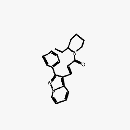 CCC1CCCCN1C(=O)C=Cc1c(-c2ccccc2)nn2ccccc12